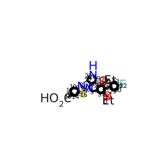 CCOc1cc(CN(c2nc3ccc(C(=O)O)cc3s2)C2CCNCC2)cc(OCC)c1-c1ccc(F)cc1